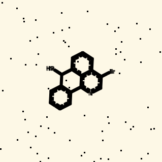 OC1c2ccccc2-c2ncc(Br)c3cccc1c23